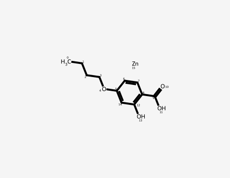 CCCCOc1ccc(C(=O)O)c(O)c1.[Zn]